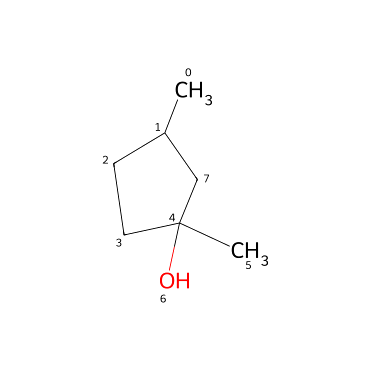 CC1CCC(C)(O)C1